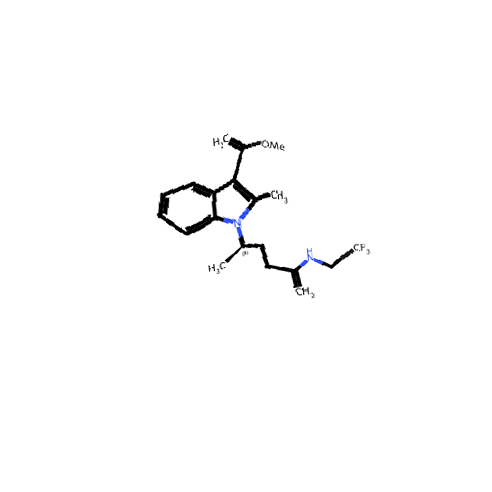 C=C(CC[C@@H](C)n1c(C)c(C(=C)OC)c2ccccc21)NCC(F)(F)F